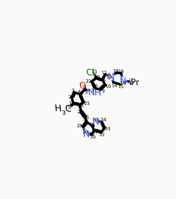 Cc1ccc(C(=O)Nc2ccc(CN3CCN(C(C)C)CC3)c(Cl)c2)cc1C#Cc1cncc2cccnc12